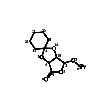 CC(C)OC1OC(=O)C2OC3(CCCCC3)OC12